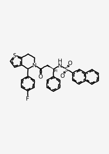 O=C(C[C@@H](NS(=O)(=O)c1ccc2ccccc2c1)c1ccccc1)N1CCc2sccc2C1c1ccc(F)cc1